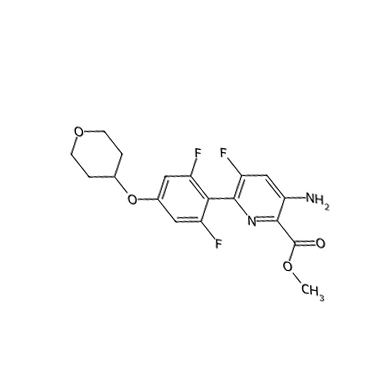 COC(=O)c1nc(-c2c(F)cc(OC3CCOCC3)cc2F)c(F)cc1N